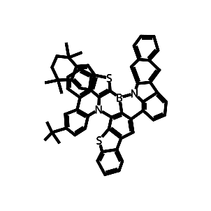 CC(C)(C)c1ccc(N2c3c(sc4cc5c(cc34)C(C)(C)CCC5(C)C)B3c4c(cc5c(sc6ccccc65)c42)-c2cccc4c5cc6ccccc6cc5n3c24)c(-c2ccccc2)c1